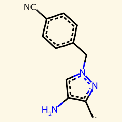 [CH2]c1nn(Cc2ccc(C#N)cc2)cc1N